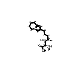 CN[C@H](C(=O)O)[C@H](O)[C@H](C)CCCc1cn2c(n1)CCCC2